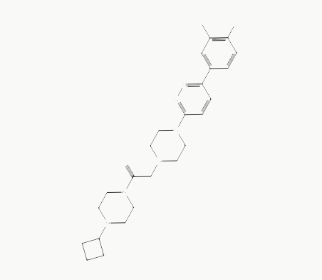 O=C(CN1CCN(c2ccc(-c3ccc(Cl)c(Cl)c3)nn2)CC1)N1CCN(C2CCC2)CC1